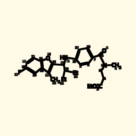 CCOC(=O)CCN(C)C(=O)c1ccc(NC(c2oc3ccc(F)cc3c2C)C(CC)CC)cc1